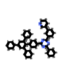 c1ccc(-c2cc(-c3ccccc3)c(-c3ccc(-c4nc(-c5ccccc5)nc(-c5cccc(-c6cccnc6)c5)n4)cc3)c(-c3ccccc3)c2)cc1